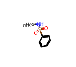 CCCCCCNS(=O)(=O)c1ccccc1